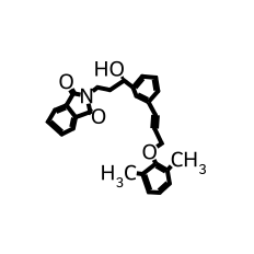 Cc1cccc(C)c1OCC#Cc1cccc([C@H](O)CCN2C(=O)c3ccccc3C2=O)c1